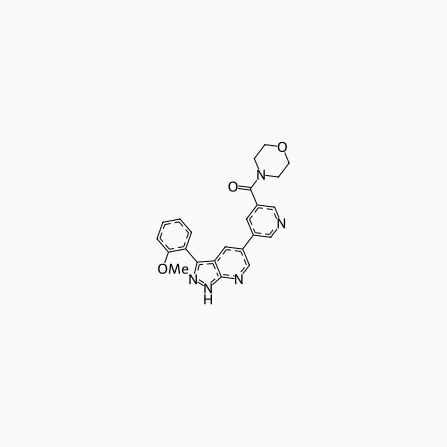 COc1ccccc1-c1n[nH]c2ncc(-c3cncc(C(=O)N4CCOCC4)c3)cc12